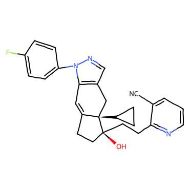 N#Cc1cccnc1CC[C@]1(O)CCC2=Cc3c(cnn3-c3ccc(F)cc3)C[C@@]21C1CC1